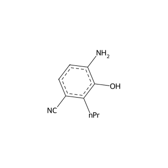 CCCc1c(C#N)ccc(N)c1O